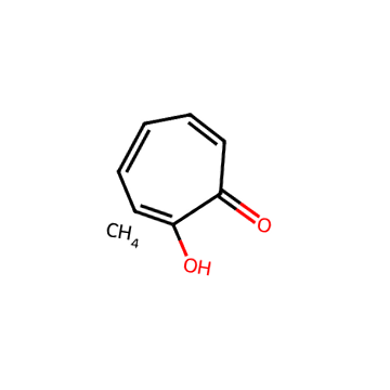 C.O=c1cccccc1O